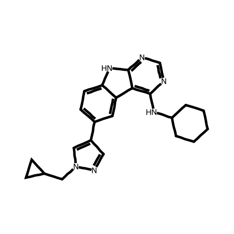 c1nc(NC2CCCCC2)c2c(n1)[nH]c1ccc(-c3cnn(CC4CC4)c3)cc12